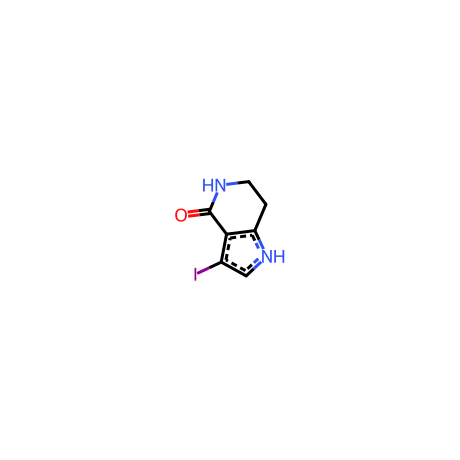 O=C1NCCc2[nH]cc(I)c21